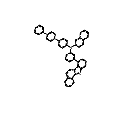 c1ccc(-c2ccc(-c3ccc(N(c4cccc(-c5cccc6oc7c8ccccc8ccc7c56)c4)c4ccc5ccccc5c4)cc3)cc2)cc1